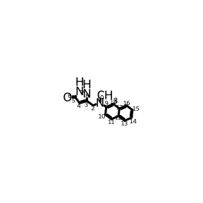 CN(Cc1cc(=O)[nH][nH]1)c1ccc2ccccc2c1